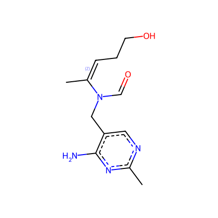 C/C(=C/CCO)N(C=O)Cc1cnc(C)nc1N